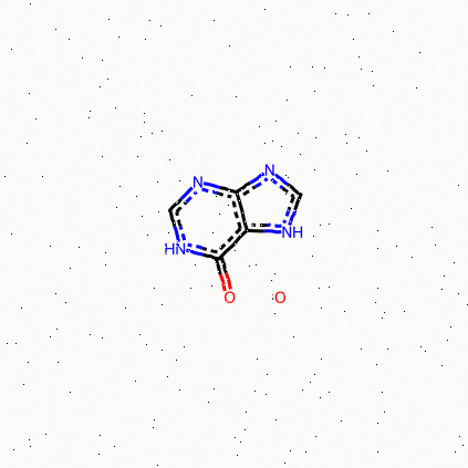 O=c1[nH]cnc2nc[nH]c12.[O]